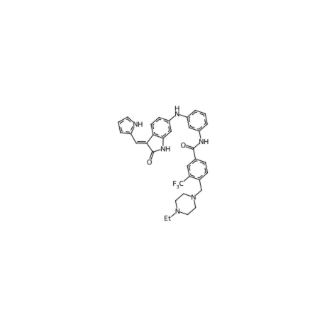 CCN1CCN(Cc2ccc(C(=O)Nc3cccc(Nc4ccc5c(c4)NC(=O)C5=Cc4ccc[nH]4)c3)cc2C(F)(F)F)CC1